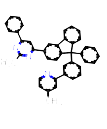 Cc1ccnc(-c2cccc(C3(c4ccccc4)c4ccccc4-c4cc(-c5cc(-c6ccccc6)nc(C)n5)ccc43)c2)c1